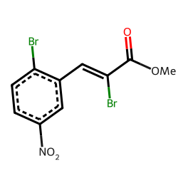 COC(=O)C(Br)=Cc1cc([N+](=O)[O-])ccc1Br